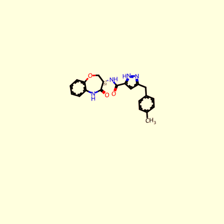 Cc1ccc(Cc2cc(C(=O)N[C@H]3COc4ccccc4NC3=O)[nH]n2)cc1